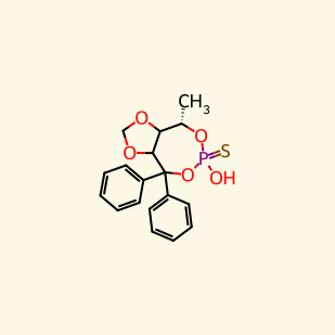 C[C@@H]1OP(O)(=S)OC(c2ccccc2)(c2ccccc2)C2OCOC21